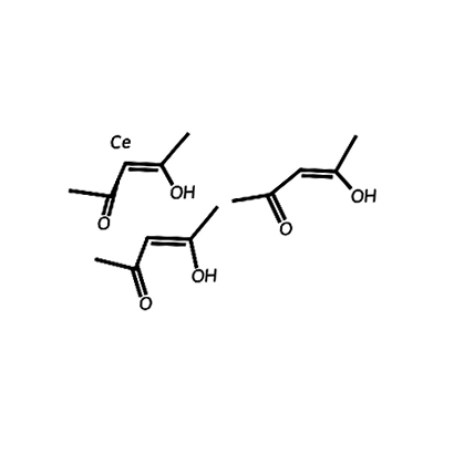 CC(=O)/C=C(/C)O.CC(=O)/C=C(/C)O.CC(=O)/C=C(/C)O.[Ce]